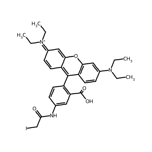 CCN(CC)c1ccc2c(-c3ccc(NC(=O)CI)cc3C(=O)O)c3ccc(=[N+](CC)CC)cc-3oc2c1